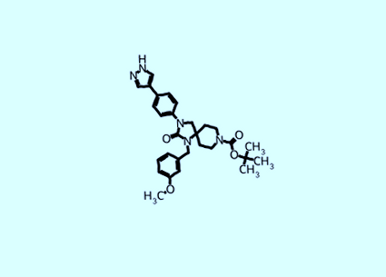 COc1cccc(CN2C(=O)N(c3ccc(-c4cn[nH]c4)cc3)CC23CCN(C(=O)OC(C)(C)C)CC3)c1